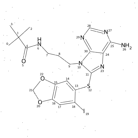 CC(C)(C)C(=O)NCCCn1c(Sc2cc3c(cc2I)OCO3)nc2c(N)ncnc21